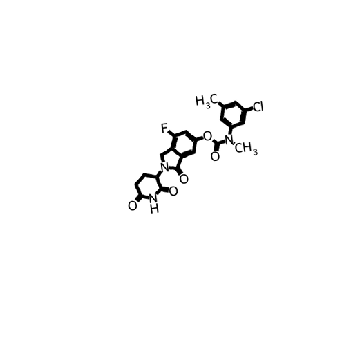 Cc1cc(Cl)cc(N(C)C(=O)Oc2cc(F)c3c(c2)C(=O)N(C2CCC(=O)NC2=O)C3)c1